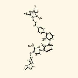 COc1nc(-c2cccc(-c3cccc(-c4ccc(OCCN5C(=N)NC(C)(C)C5O)cc4)c3Cl)c2Cl)ccc1CN1CC2(CCC(=O)N2)C1